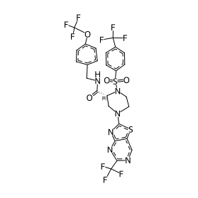 O=C(NCc1ccc(OC(F)(F)F)cc1)[C@H]1CN(c2nc3nc(C(F)(F)F)ncc3s2)CCN1S(=O)(=O)c1ccc(C(F)(F)F)cc1